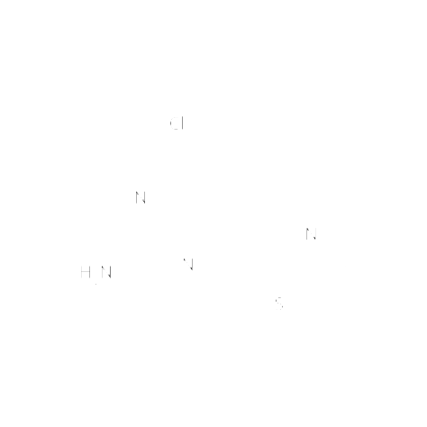 Nc1nc(Cl)cc(-c2nccs2)n1